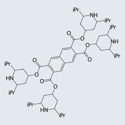 CC(C)C1CC(OC(=O)c2cc3cc(C(=O)OC4CC(C(C)C)NC(C(C)C)C4)c(C(=O)OC4CC(C(C)C)NC(C(C)C)C4)cc3cc2C(=O)OC2CC(C(C)C)NC(C(C)C)C2)CC(C(C)C)N1